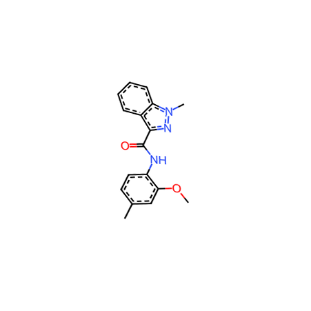 COc1cc(C)ccc1NC(=O)c1nn(C)c2ccccc12